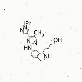 Cc1cnc(Nc2ccc3c(c2)C(CCCCO)NCC3)nc1-c1cnn(C(C)C)c1